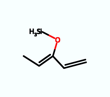 C=CC(=CC)O[SiH3]